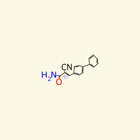 N#C/C(=C\c1ccc(-c2ccccc2)cc1)C(N)=O